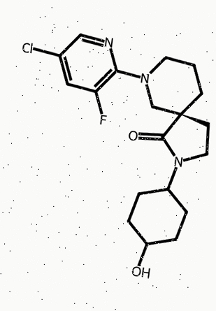 O=C1N(C2CCC(O)CC2)CC[C@@]12CCCN(c1ncc(Cl)cc1F)C2